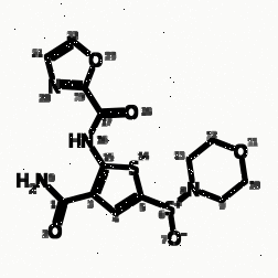 NC(=O)c1cc([S+]([O-])N2CCOCC2)sc1NC(=O)c1ncco1